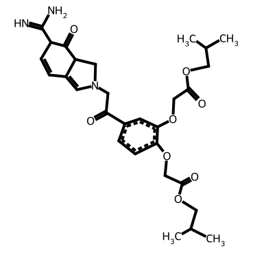 CC(C)COC(=O)COc1ccc(C(=O)CN2C=C3C=CC(C(=N)N)C(=O)C3C2)cc1OCC(=O)OCC(C)C